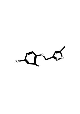 Cc1cc(COc2ccc([N+](=O)[O-])cc2F)no1